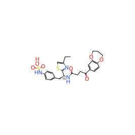 CCc1csc([C@H](Cc2ccc(NS(=O)(=O)O)cc2)NC(=O)CCC(=O)c2ccc3c(c2)OCCCO3)n1